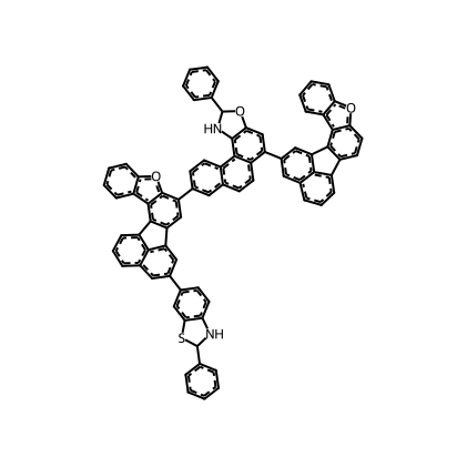 c1ccc(C2Nc3c(cc(-c4cc5c6c(cccc6c4)-c4ccc6oc7ccccc7c6c4-5)c4ccc5cc(-c6cc7c(c8c6oc6ccccc68)-c6cccc8cc(-c9ccc%10c(c9)SC(c9ccccc9)N%10)cc-7c68)ccc5c34)O2)cc1